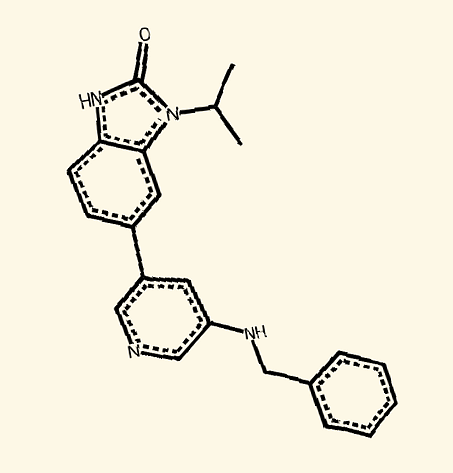 CC(C)n1c(=O)[nH]c2ccc(-c3cncc(NCc4ccccc4)c3)cc21